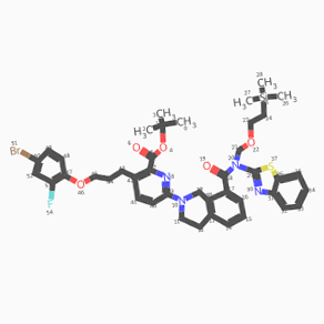 CC(C)(C)OC(=O)c1nc(N2CCc3cccc(C(=O)N(COCC[Si](C)(C)C)c4nc5ccccc5s4)c3C2)ccc1CCCOc1ccc(Br)cc1F